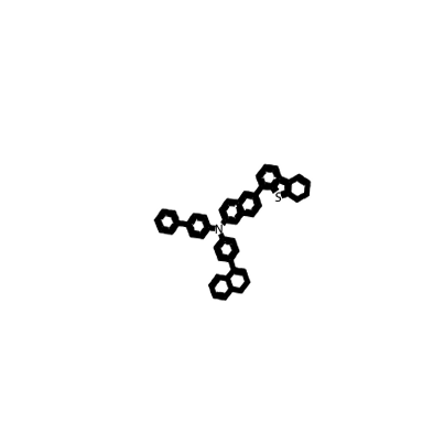 C1=CC2CCC=C(c3ccc(N(c4ccc(-c5ccccc5)cc4)c4ccc5cc(-c6cccc7c8c(sc67)CCC=C8)ccc5c4)cc3)C2C=C1